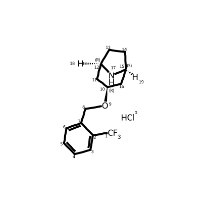 Cl.FC(F)(F)c1ccccc1CO[C@H]1C[C@H]2CC[C@@H](C1)N2